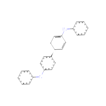 C1=C[C@@H](c2ccc(Nc3ccccc3)cc2)CC=C1Nc1ccccc1